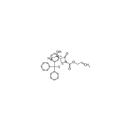 C=CCOC(=O)N1C(=O)[C@H](C(C)O)[C@H]1SC(c1ccccc1)(c1ccccc1)c1ccccc1